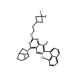 Fc1c(-c2cccc3cccc(Cl)c23)ncc2c(N3CC4CCC(C3)N4)nc(OCCC3CC(F)(F)C3)nc12